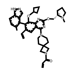 C=CC(=O)N1CC2(CCN(c3nc(OC[C@@H]4CCCN4C)nc4c(OC5CCC5)c(-c5c(C)ccc6[nH]ncc56)c(C=C)cc34)CC2)C1